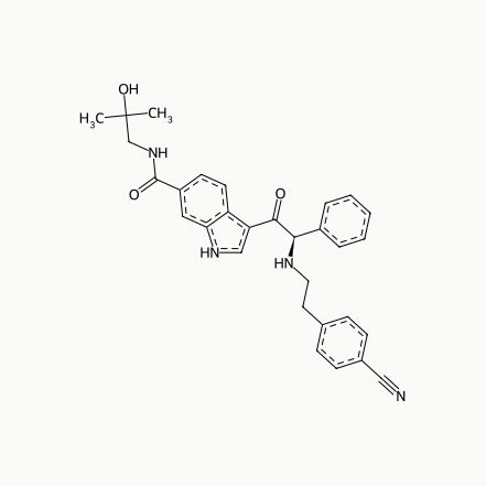 CC(C)(O)CNC(=O)c1ccc2c(C(=O)[C@H](NCCc3ccc(C#N)cc3)c3ccccc3)c[nH]c2c1